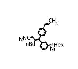 CC=Cc1ccc(C(=C(C=C=[N+]=[N-])CCCC)c2cccc(CCCCCC)c2)cc1.[Ni]